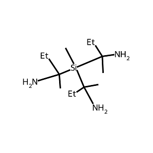 CCC(C)(N)[Si](C)(C(C)(N)CC)C(C)(N)CC